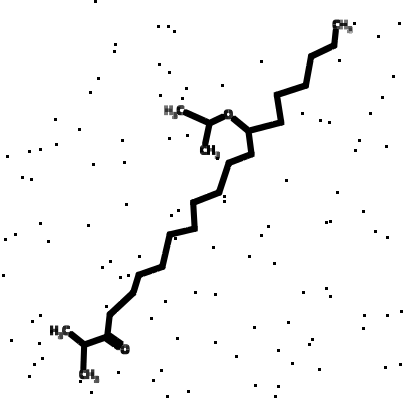 CCCCCCC(CCCCCCCCCCC(=O)C(C)C)OC(C)C